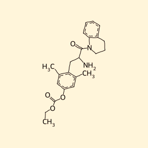 CCOC(=O)Oc1cc(C)c(CC(N)C(=O)N2CCCc3ccccc32)c(C)c1